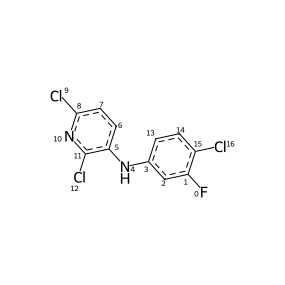 Fc1cc(Nc2ccc(Cl)nc2Cl)ccc1Cl